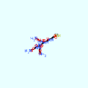 CCP(=O)(S)OCCCCCCNC(=O)CCCC(=O)NC(CCC(=O)NC(CCC(=O)NCCOCCON)C(=O)NCCOCCON)C(=O)NCCOCCON